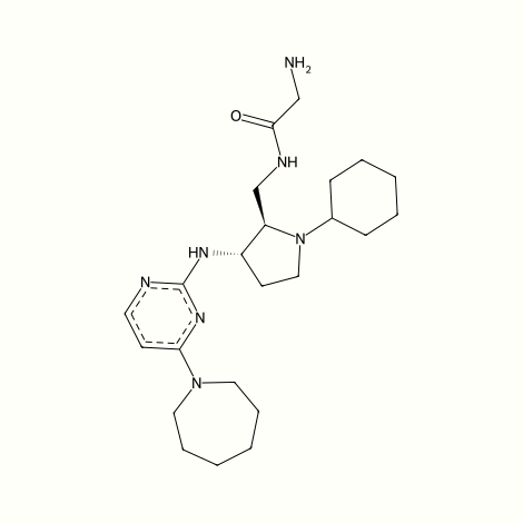 NCC(=O)NC[C@@H]1[C@@H](Nc2nccc(N3CCCCCC3)n2)CCN1C1CCCCC1